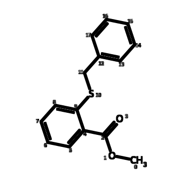 COC(=O)c1ccccc1SCc1ccccc1